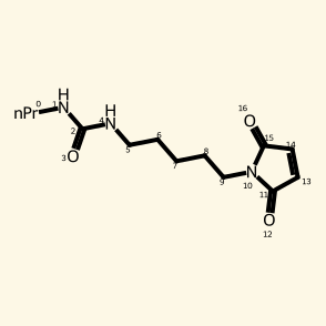 CCCNC(=O)NCCCCCN1C(=O)C=CC1=O